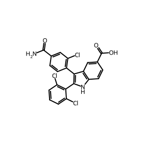 NC(=O)c1ccc(-c2c(-c3c(Cl)cccc3Cl)[nH]c3ccc(C(=O)O)cc23)c(Cl)c1